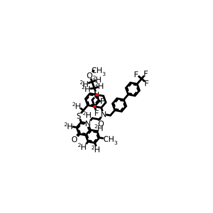 [2H]c1c(C)c([2H])c2c(c1[2H])c(=O)c([2H])c(SC([2H])([2H])c1cccc(F)c1F)n2CC(=O)N(Cc1ccc(-c2ccc(C(F)(F)F)cc2)cc1)C1CCN(C([2H])([2H])C([2H])([2H])OC)CC1